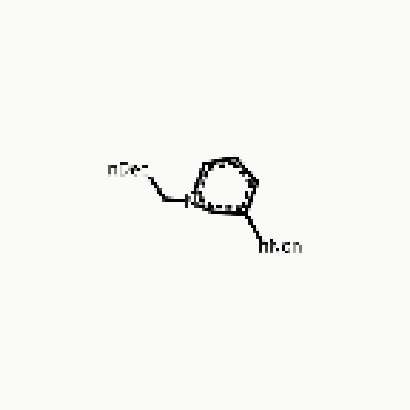 CCCCCCCCCCC[n+]1cccc(CCCCCCCCC)c1